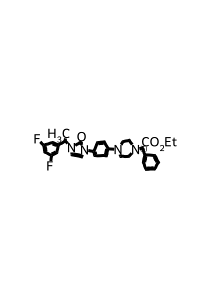 CCOC(=O)[C@H](c1ccccc1)N1CCN(c2ccc(-n3ccn(C(C)c4cc(F)cc(F)c4)c3=O)cc2)CC1